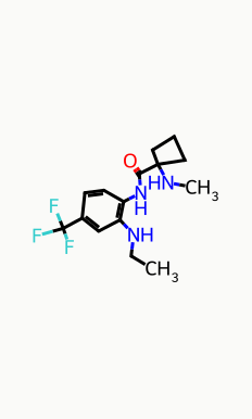 CCNc1cc(C(F)(F)F)ccc1NC(=O)C1(NC)CCC1